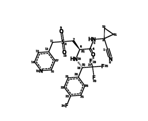 N#CC1(NC(=O)[C@H](CS(=O)(=O)Cc2ccncc2)N[C@@H](c2ccc(F)cc2)C(F)(F)F)CC1